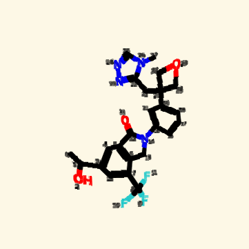 CC(O)c1cc2c(c(C(F)(F)F)c1)CN(c1cccc(C3(Cc4nncn4C)COC3)c1)C2=O